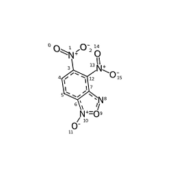 O=[N+]([O-])c1ccc2c(no[n+]2[O-])c1[N+](=O)[O-]